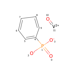 O=P([O-])([O-])c1ccccc1.[O]=[V+2]